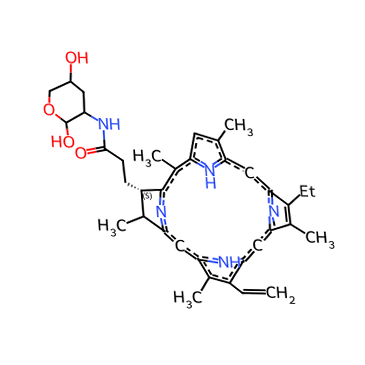 C=Cc1c(C)c2cc3nc(c(C)c4cc(C)c(cc5nc(cc1[nH]2)C(C)=C5CC)[nH]4)[C@@H](CCC(=O)NC1CC(O)COC1O)C3C